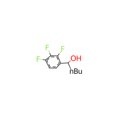 CCCCC(O)c1ccc(F)c(F)c1F